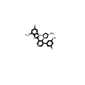 Cc1cc(F)cc2[nH]c(-c3cncc(-c4cc(F)cc(C#N)c4)c3N3CC[C@H](N)C3)nc12